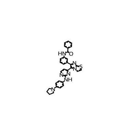 O=C(Nc1cccc(-c2nc3sccn3c2-c2ccnc(Nc3ccc(N4CCCC4)cc3)n2)c1)c1ccccc1